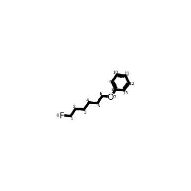 FCCCCCCOc1cc[c]cc1